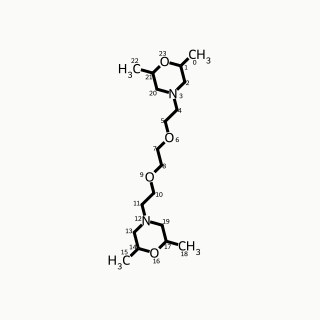 CC1CN(CCOCCOCCN2CC(C)OC(C)C2)CC(C)O1